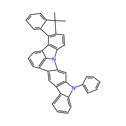 CC1(C)c2ccccc2-c2c1ccc1c2c2cccc3c4cc5c6ccccc6n(-c6ccccc6)c5cc4n1c32